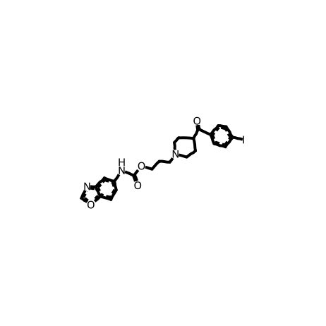 O=C(Nc1ccc2ocnc2c1)OCCCN1CCC(C(=O)c2ccc(I)cc2)CC1